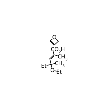 C1=COC1.CCOC(C)(C=C(C)C(=O)O)CC